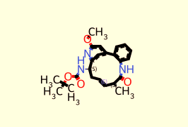 COc1cc2cc(n1)[C@@H](NC(=O)OC(C)(C)C)C/C=C/[C@H](C)C(=O)Nc1ccccc1-2